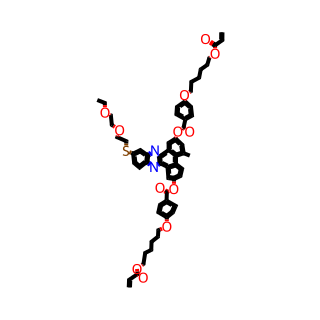 C=CC(=O)OCCCCCCOc1ccc(C(=O)Oc2ccc3c(c2)c2nc4ccc(SCCOCCOCC)cc4nc2c2cc(OC(=O)c4ccc(OCCCCCCOC(=O)C=C)cc4)cc(C)c32)cc1